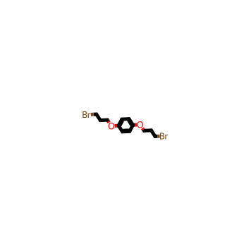 BrCCCOc1ccc(OCCCBr)cc1